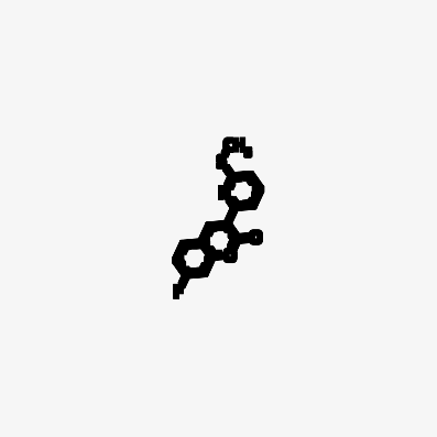 CSc1cccc(-c2cc3ccc(F)cc3oc2=O)n1